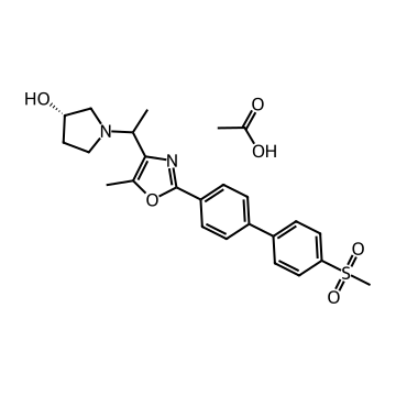 CC(=O)O.Cc1oc(-c2ccc(-c3ccc(S(C)(=O)=O)cc3)cc2)nc1C(C)N1CC[C@H](O)C1